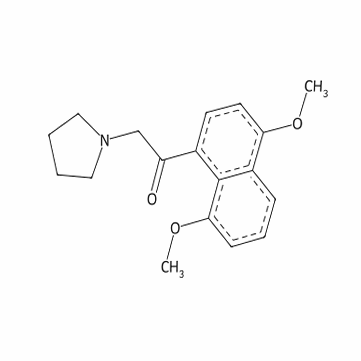 COc1ccc(C(=O)CN2CCCC2)c2c(OC)cccc12